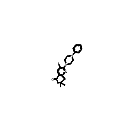 CC1(C)CC(=O)c2cc(I)c(N3CCN(c4ccccc4)CC3)nc2C1